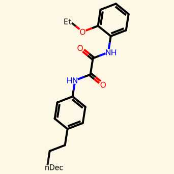 CCCCCCCCCCCCc1ccc(NC(=O)C(=O)Nc2ccccc2OCC)cc1